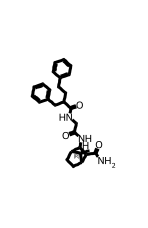 C[C@H]1C2CCC1C(C(N)=O)C2NC(=O)CNC(=O)C(CCc1ccccc1)Cc1ccccc1